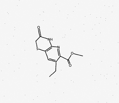 CCc1cc2c(nc1C(=O)OC)NC(=O)CS2